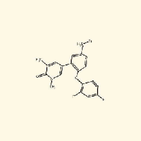 CC[SiH2]c1ccc(Oc2ccc(F)cc2F)c(-c2cc(C(F)(F)F)c(=O)n(C)c2)c1